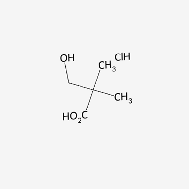 CC(C)(CO)C(=O)O.Cl